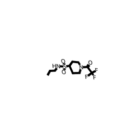 CCCNS(=O)(=O)C1CCN(C(=O)C(F)(F)F)CC1